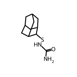 NC(=O)NSC1C2CC3CC(C2)CC1C3